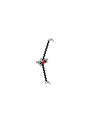 CCCCCCCCCCCCCCCC(=O)N([C@](CO)(C(=O)O)C(=O)CCCCCCCCCCCCCCC)P(=O)(O)O